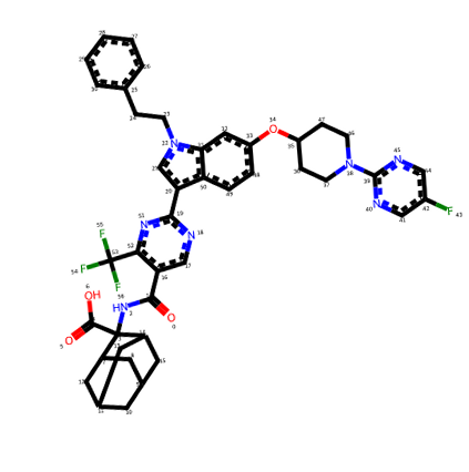 O=C(NC1(C(=O)O)C2CC3CC(C2)CC1C3)c1cnc(-c2cn(CCc3ccccc3)c3cc(OC4CCN(c5ncc(F)cn5)CC4)ccc23)nc1C(F)(F)F